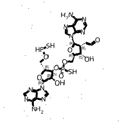 Nc1ncnc2c1ncn2[C@@H]1O[C@H](COPS)[C@@H](OP(=O)(S)OC[C@H]2O[C@@H](n3cnc4c(N)ncnc43)[C@H](CC=O)[C@@H]2O)[C@H]1O